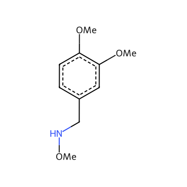 CONCc1ccc(OC)c(OC)c1